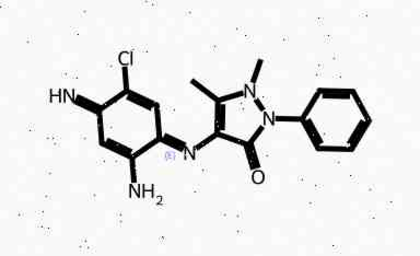 Cc1c(/N=C2\C=C(Cl)C(=N)C=C2N)c(=O)n(-c2ccccc2)n1C